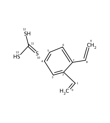 C=Cc1ccccc1C=C.S=C(S)S